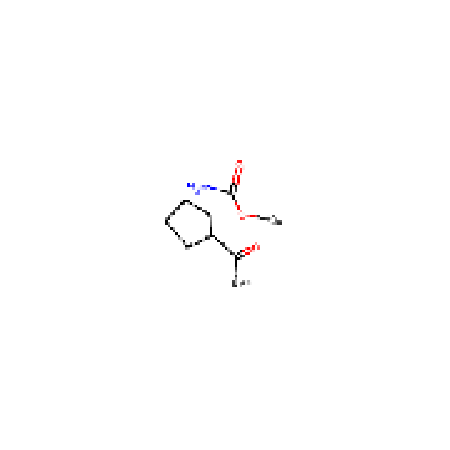 CC(C)(C)OC(N)=O.CNC(=O)C1CCCC1